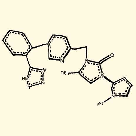 CCCCc1cn(-c2cccn2CCC)c(=O)n1Cc1ccc(-c2ccccc2-c2nnn[nH]2)cn1